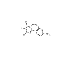 Cc1ccc2c(ccc3c(F)c(F)c(F)cc32)c1